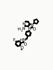 COc1ccc(F)cc1C(=O)NCc1ccc(-n2c(=O)n(C3CCCC3)c3ccnc(N)c32)cc1